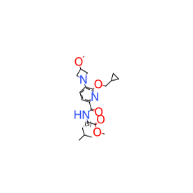 COC(=O)[C@H](CC(C)C)NC(=O)c1ccc(N2CC(OC)C2)c(OCC2CC2)n1